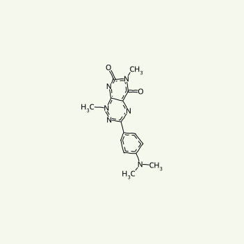 CN(C)c1ccc(-c2nc3c(=O)n(C)c(=O)nc-3n(C)n2)cc1